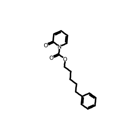 O=C(OCCCCCc1ccccc1)n1ccccc1=O